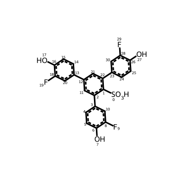 O=S(=O)(O)c1c(-c2ccc(O)c(F)c2)cc(-c2ccc(O)c(F)c2)cc1-c1ccc(O)c(F)c1